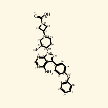 Nc1ncnc2c1c(-c1ccc(Oc3ccccc3)cc1)nn2[C@H]1CCN(C2CN(C(=O)O)C2)C[C@@H]1F